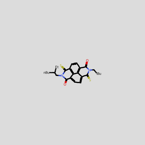 CCCCC(CC)CN1C(=O)c2ccc3c4c(ccc(c24)C1=S)C(=O)N(CC(C)CC)C3=S